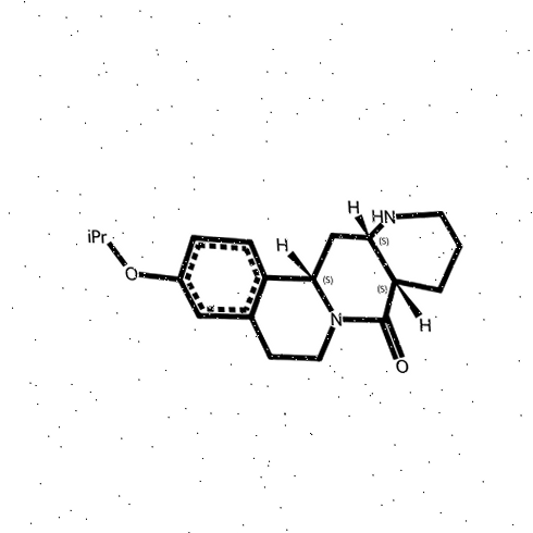 CC(C)Oc1ccc2c(c1)CCN1C(=O)[C@H]3CCCN[C@H]3C[C@@H]21